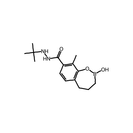 Cc1c(C(=O)NNC(C)(C)C)ccc2c1OB(O)CCC2